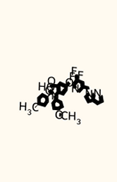 COC1CCC(N(c2ccc(Oc3ncc(Cn4ccc5cccnc54)cc3C(F)(F)F)cc2C(=O)O)C(=O)[C@H]2CC[C@H](C)CC2)CC1